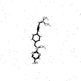 CCCc1cnc(N(C)CC2CCC(C#CCN(C)C)CC2)nc1